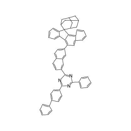 c1ccc(-c2ccc(-c3nc(-c4ccccc4)nc(-c4ccc5ccc(-c6cc7ccccc7c7c6-c6ccccc6C76C7CC8CC(C7)CC6C8)cc5c4)n3)cc2)cc1